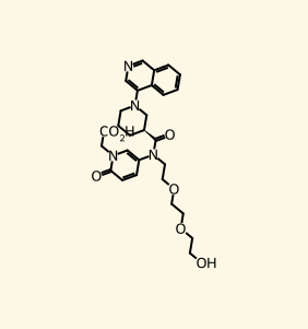 O=C(O)Cn1cc(N(CCOCCOCCO)C(=O)[C@H]2CCCN(c3cncc4ccccc34)C2)ccc1=O